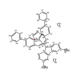 CC(C)(C)c1ccc2c(c1)-c1cc(C(C)(C)C)ccc1[CH]2[Hf+2](=[CH]c1ccc(-c2ccccc2)cc1)(=[CH]c1ccc(-c2ccccc2)cc1)[C]1=CC=CC1.[Cl-].[Cl-]